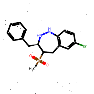 CS(=O)(=O)C1Cc2cc(Br)ccc2NN[C@@H]1Cc1ccccc1